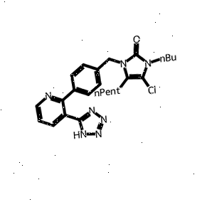 CCCCCc1c(Cl)n(CCCC)c(=O)n1Cc1ccc(-c2ncccc2-c2nnn[nH]2)cc1